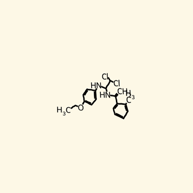 C=C(NC(Nc1ccc(OCC)cc1)C(Cl)Cl)c1ccccc1C